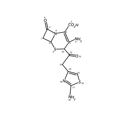 NC1=C(C(=O)O)N2C(=O)CC2SC1C(=O)Cc1csc(N)n1